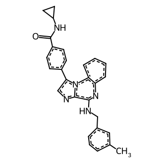 Cc1cccc(CNc2nc3ccccc3n3c(-c4ccc(C(=O)NC5CC5)cc4)cnc23)c1